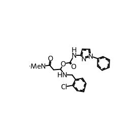 C[N]C(=O)CC(NCc1ccccc1Cl)OC(=O)Nc1ccn(-c2ccccc2)n1